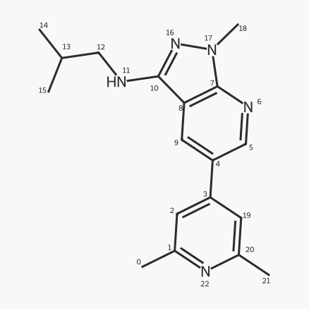 Cc1cc(-c2cnc3c(c2)c(NCC(C)C)nn3C)cc(C)n1